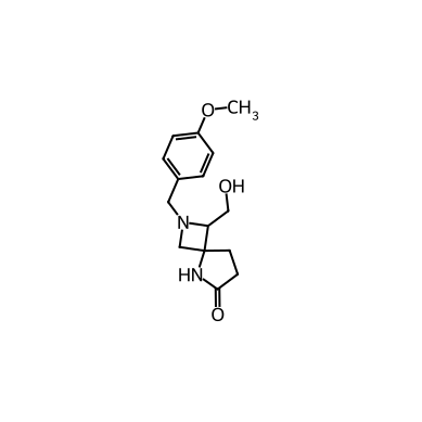 COc1ccc(CN2CC3(CCC(=O)N3)C2CO)cc1